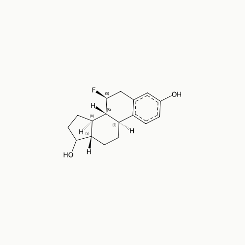 Oc1ccc2c(c1)C[C@H](F)[C@H]1[C@@H]3CCC(O)[C@H]3CC[C@H]21